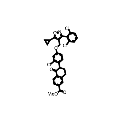 COC(=O)c1ccc2c(c1)CCC(c1ccc(OCc3c(-c4c(Cl)cccc4Cl)noc3C3CC3)cc1Cl)C2=O